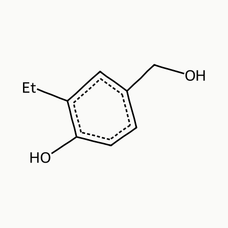 CCc1cc(CO)ccc1O